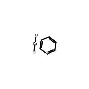 [Cl][Ca][Cl].c1ccncc1